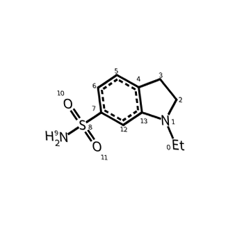 CCN1CCc2ccc(S(N)(=O)=O)cc21